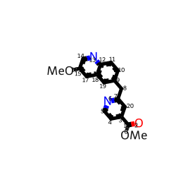 COC(=O)c1ccnc(Cc2ccc3ncc(OC)cc3c2)c1